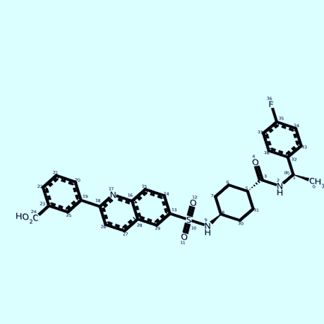 C[C@@H](NC(=O)[C@H]1CC[C@H](NS(=O)(=O)c2ccc3nc(-c4cccc(C(=O)O)c4)ccc3c2)CC1)c1ccc(F)cc1